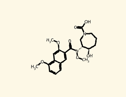 COc1cc2c(OC)cccc2cc1C(=O)N(OC)[C@@H]1CN(C(=O)O)CCC[C@H]1O